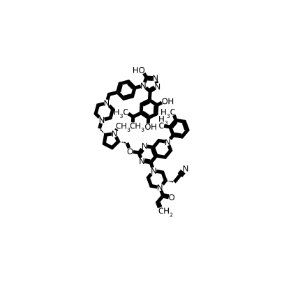 C=CC(=O)N1CCN(c2nc(OC[C@@H]3CC[C@H](CN4CCN(Cc5ccc(-n6c(O)nnc6-c6cc(C(C)C)c(O)cc6O)cc5)CC4)N3C)nc3c2CCN(c2cccc(C)c2C)C3)C[C@@H]1CC#N